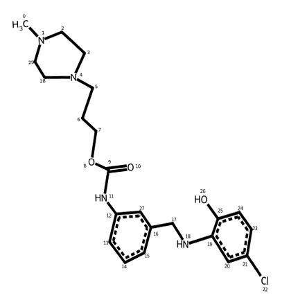 CN1CCN(CCCOC(=O)Nc2cccc(CNc3cc(Cl)ccc3O)c2)CC1